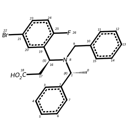 C[C@H](c1ccccc1)N(Cc1ccccc1)[C@@H](CC(=O)O)c1cc(Br)ccc1F